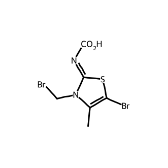 Cc1c(Br)s/c(=N\C(=O)O)n1CBr